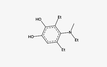 CCc1cc(O)c(O)c(CC)c1N(C)CC